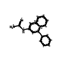 NC(=[Se])Nc1cc(-c2ccccc2)c2ccccc2c1